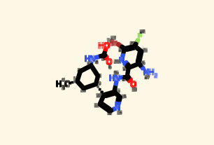 C[C@@H]1C[C@H](NC(=O)O)C[C@H](c2ccncc2NC(=O)c2nc(Br)c(F)cc2N)C1